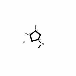 CP[C@@H]1C[C@@H](F)[C@@H](F)C1.I